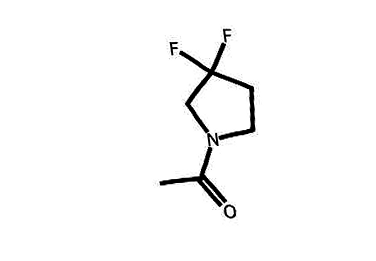 CC(=O)N1CCC(F)(F)C1